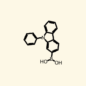 OB(O)c1ccc2c3ccccc3n(-c3ccccc3)c2c1